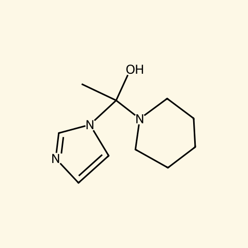 CC(O)(N1CCCCC1)n1ccnc1